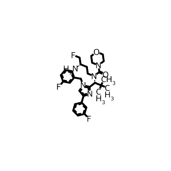 CC(C)(C)[C@H](c1nc(-c2cccc(F)c2)cn1Cc1cccc(F)c1)N(CC[C@H](N)CF)C(=O)N1CCOCC1